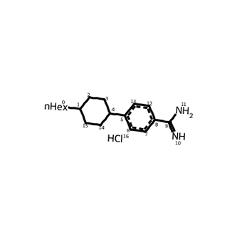 CCCCCCC1CCC(c2ccc(C(=N)N)cc2)CC1.Cl